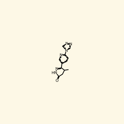 CC1CC(=O)NN=C1c1ccc(-n2cnnc2)nc1